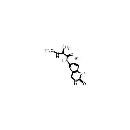 CNC(C)C(=O)Nc1ccc2c(n1)CNC(=O)N2.Cl